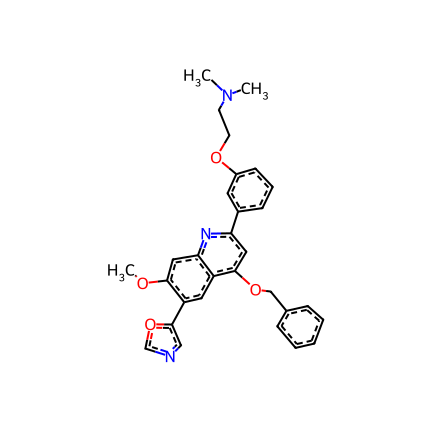 COc1cc2nc(-c3cccc(OCCN(C)C)c3)cc(OCc3ccccc3)c2cc1-c1cnco1